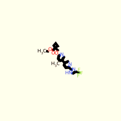 CCOC(=O)C1(COc2cc(C)c(-c3ccc(-c4nc(C(F)(F)F)c[nH]4)nc3)cn2)CCC1